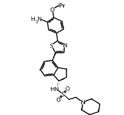 CC(C)Oc1ccc(-c2ncc(-c3cccc4c3CC[C@@H]4NS(=O)(=O)CCN3CCCCC3)s2)cc1N